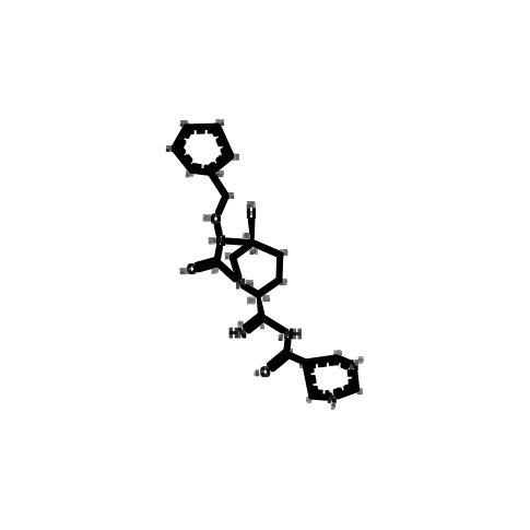 N=C(NC(=O)c1cncnc1)[C@@H]1CC[C@@H]2CN1C(=O)N2OCc1ccccc1